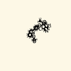 Clc1cncc(Cl)c1-c1noc(C2CC2)c1COC12CCC(c3ccc4cccc(OC5COC5)c4n3)(CC1)CC2